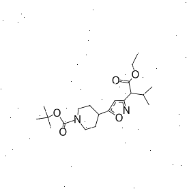 CCOC(=O)C(c1cc(C2CCN(C(=O)OC(C)(C)C)CC2)on1)C(C)C